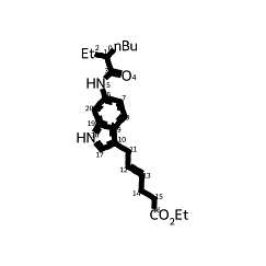 CCCCC(CC)C(=O)Nc1ccc2c(C/C=C/CCC(=O)OCC)c[nH]c2c1